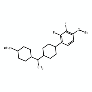 CCCCCCC1CCC(C(C)C2CCC(c3ccc(OCC)c(F)c3F)CC2)CC1